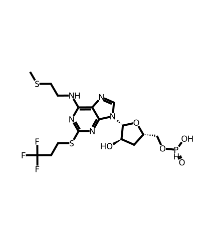 CSCCNc1nc(SCCC(F)(F)F)nc2c1ncn2[C@@H]1O[C@H](CO[PH](=O)O)C[C@H]1O